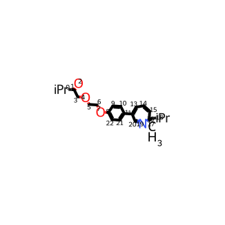 CC(C)C(=O)COCCOc1ccc(C2=CC=CC(C)(C(C)C)N=C2)cc1